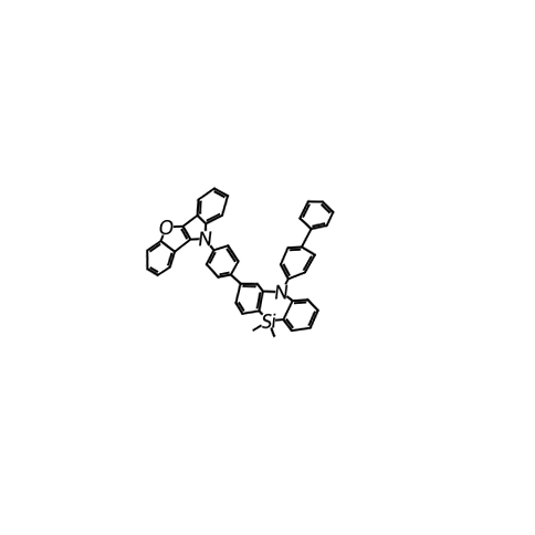 C[Si]1(C)c2ccccc2N(c2ccc(-c3ccccc3)cc2)c2cc(-c3ccc(-n4c5ccccc5c5oc6ccccc6c54)cc3)ccc21